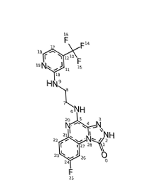 O=c1[nH]nc2c(NCCNc3cc(C(F)(F)F)ccn3)nc3ccc(F)cc3n12